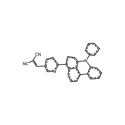 N#CC(C#N)=Cc1ccc(-c2ccc3c4c(cccc24)-c2ccccc2N3c2ccccc2)nc1